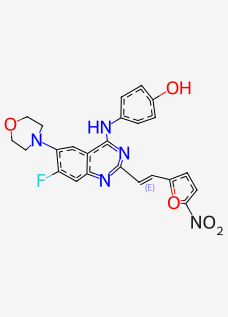 O=[N+]([O-])c1ccc(/C=C/c2nc(Nc3ccc(O)cc3)c3cc(N4CCOCC4)c(F)cc3n2)o1